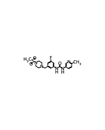 Cc1ccc(NC(=O)Nc2cc(F)cc(CN3CCN(S(C)(=O)=O)CC3)c2)cn1